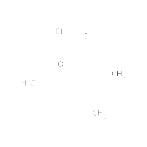 C=C(CC(=C)C(C)CC)OCC